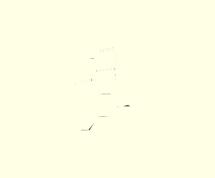 COC[C@@H]1C[C@H](C(N)=O)c2nc3cccc(C)c3c(=O)n2C1